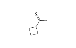 CC(=S)C1CCC1